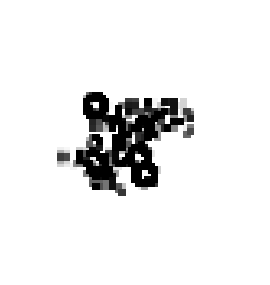 CC(C)(C)c1cc(NC(=O)Nc2ccccc2)n(-c2cc(CNN(C(N)=O)S(C)(=O)=O)c3ccccc3c2)n1